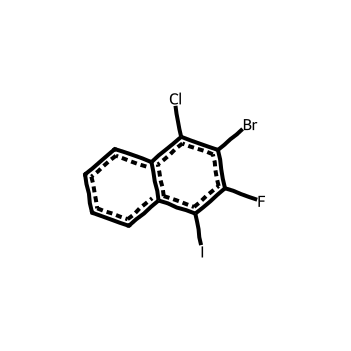 Fc1c(Br)c(Cl)c2ccccc2c1I